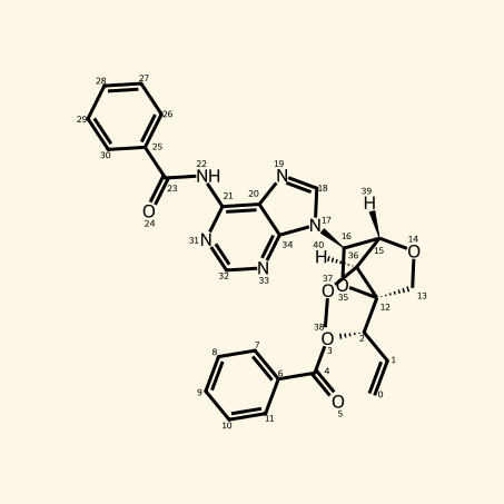 C=C[C@H](OC(=O)c1ccccc1)[C@@]12CO[C@@H]([C@H](n3cnc4c(NC(=O)c5ccccc5)ncnc43)O1)[C@@H]2OC